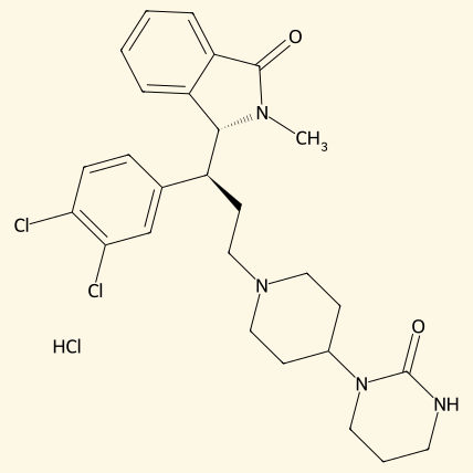 CN1C(=O)c2ccccc2[C@H]1[C@@H](CCN1CCC(N2CCCNC2=O)CC1)c1ccc(Cl)c(Cl)c1.Cl